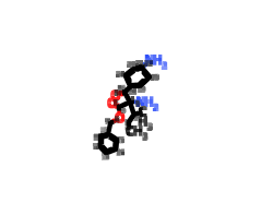 CCC(C)C(N)(C(=O)OCc1ccccc1)C(=O)c1ccc(N)cc1